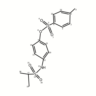 Cc1ccc(S(=O)(=O)Oc2ccc(NS(=O)(=O)C(C)C)cc2)cc1